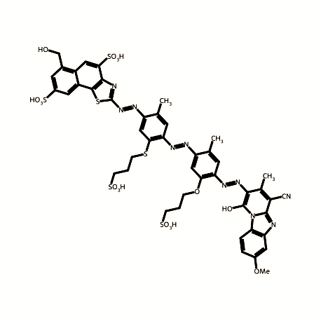 COc1ccc2c(c1)nc1c(C#N)c(C)c(N=Nc3cc(C)c(N=Nc4cc(C)c(N=Nc5nc6c(S(=O)(=O)O)cc7c(CO)cc(S(=O)(=O)O)cc7c6s5)cc4SCCCS(=O)(=O)O)cc3OCCCS(=O)(=O)O)c(O)n12